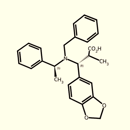 CC(C(=O)O)[C@H](c1ccc2c(c1)OCO2)N(Cc1ccccc1)[C@@H](C)c1ccccc1